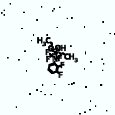 CCO[Si](O)(OCC)C(F)(F)N(F)c1cccc(F)c1F